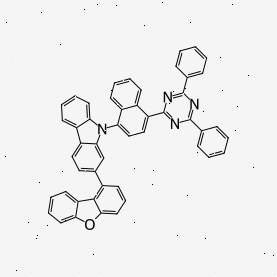 c1ccc(-c2nc(-c3ccccc3)nc(-c3ccc(-n4c5ccccc5c5ccc(-c6cccc7oc8ccccc8c67)cc54)c4ccccc34)n2)cc1